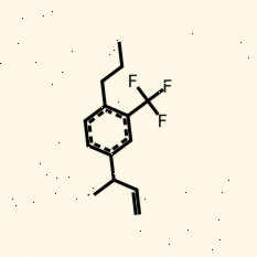 [CH2]C(C=C)c1ccc(CCC)c(C(F)(F)F)c1